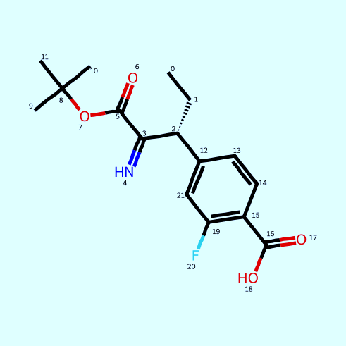 CC[C@@H](C(=N)C(=O)OC(C)(C)C)c1ccc(C(=O)O)c(F)c1